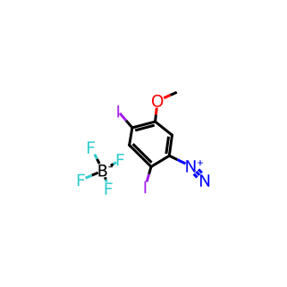 COc1cc([N+]#N)c(I)cc1I.F[B-](F)(F)F